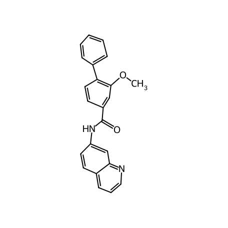 COc1cc(C(=O)Nc2ccc3cccnc3c2)ccc1-c1ccccc1